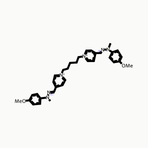 COc1ccc(N(C)/N=C/c2cc[n+](CCCCC[n+]3ccc(/C=N/N(C)c4ccc(OC)cc4)cc3)cc2)cc1